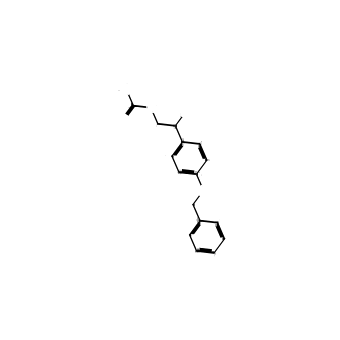 CCCCCCCCC(=O)OCC(C)c1ccc(OCc2ccccc2)cc1